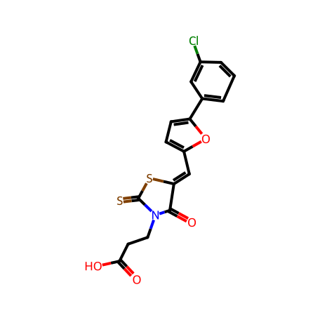 O=C(O)CCN1C(=O)/C(=C/c2ccc(-c3cccc(Cl)c3)o2)SC1=S